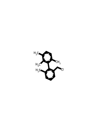 Cc1ccc(C)c(-c2c([SiH3])cccc2CCl)c1C